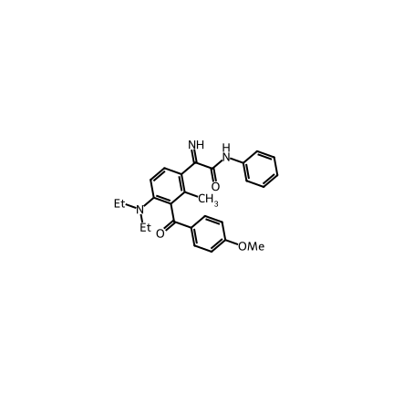 CCN(CC)c1ccc(C(=N)C(=O)Nc2ccccc2)c(C)c1C(=O)c1ccc(OC)cc1